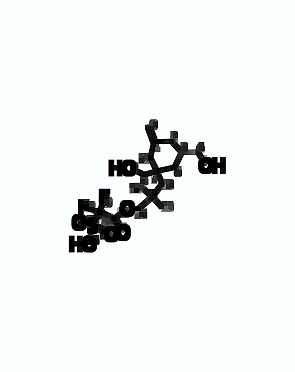 C=C1CC(CO)CC(CO)(CC(C)(C)COC(=O)C(F)(F)S(=O)(=O)O)C1